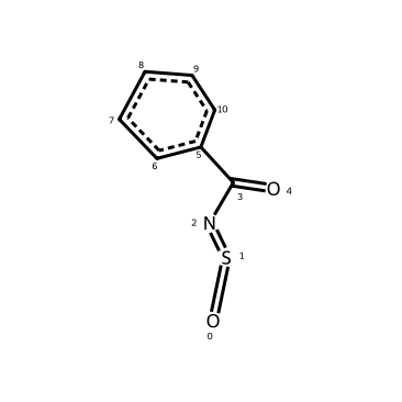 O=S=NC(=O)c1ccccc1